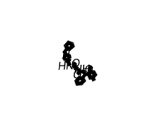 COc1ccc(C)cc1C(CC(=O)NCC(=O)NC1C2CN(Cc3ccccc3)CC21)c1ccccc1